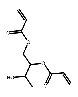 C=CC(=O)OCC(OC(=O)C=C)C(C)O